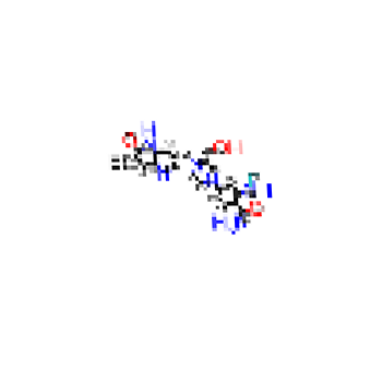 CCc1cc2ncc(CN3CCN(c4ccc(C(N)=O)c(NF)c4)C[C@@H]3CO)cc2[nH]c1=O